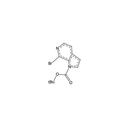 CC(C)(C)OC(=O)n1ccc2ccnc(Br)c21